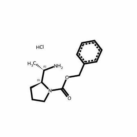 C[C@H](N)[C@@H]1CCCN1C(=O)OCc1ccccc1.Cl